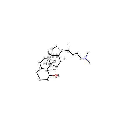 C[C@H](CCCN(C)C)[C@H]1CC[C@H]2[C@@H]3CCC4CCCC(O)[C@]4(C)[C@H]3CC[C@]12C